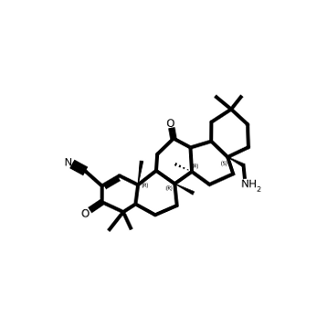 CC1(C)CC[C@]2(CN)CC[C@]3(C)C(C(=O)CC4[C@@]5(C)C=C(C#N)C(=O)C(C)(C)C5CC[C@]43C)C2C1